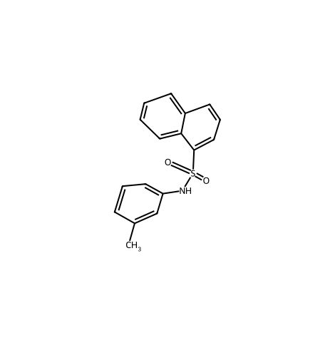 Cc1cccc(NS(=O)(=O)c2cccc3ccccc23)c1